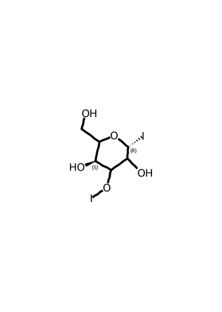 OCC1O[C@H](I)C(O)C(OI)[C@H]1O